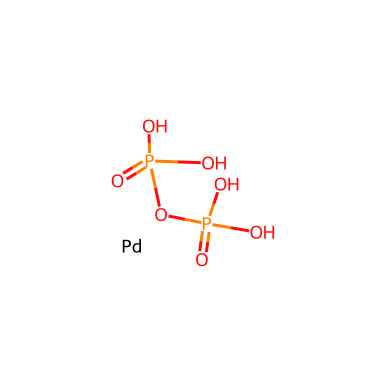 O=P(O)(O)OP(=O)(O)O.[Pd]